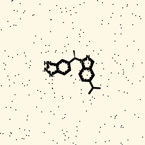 CC(C)c1ccc2c(cnn2[C@@H](C)c2ccc3nn[nH]c3c2)c1